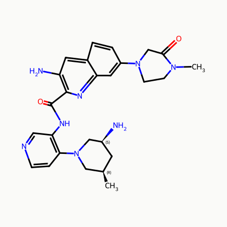 C[C@@H]1C[C@H](N)CN(c2ccncc2NC(=O)c2nc3cc(N4CCN(C)C(=O)C4)ccc3cc2N)C1